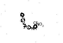 O=[N+]([O-])c1ccc(NC2CCN(C(=S)CCN3CCN(c4ccccc4)CC3)CC2)cc1C(F)(F)F